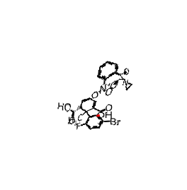 CC1(c2cc(Br)ccc2F)C(C(=O)O)=CC=C[C@H]1C(=O)O.O=[N+]([O-])c1ccccc1S(=O)(=O)N1CC1